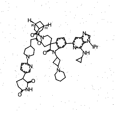 CC(C)n1cnc2cc(-c3ccc4c(c3)N(C3CC(N5CCCCC5)C3)C(=O)C43CCN(C(=O)C4[C@@H]5C[C@H]4CN(C(=O)CC4CCN(c6ccc(C7CCC(=O)NC7=O)cn6)CC4)C5)CC3)nc(NC3CC3)c21